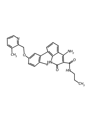 CCCNC(=O)c1c(N)c2cccc(-c3cc(OCc4ncccc4C)ccc3F)c2[nH]c1=O